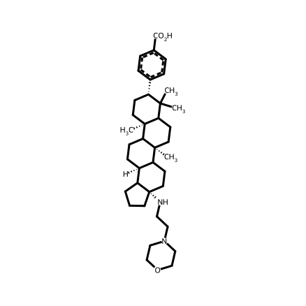 CC1(C)C2CC[C@@]3(C)C4CC[C@@]5(NCCN6CCOCC6)CCCC5[C@H]4CCC3[C@@]2(C)CC[C@@H]1c1ccc(C(=O)O)cc1